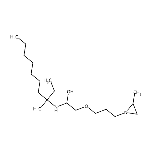 CCCCCCCC(C)(CC)NC(O)COCCCN1CC1C